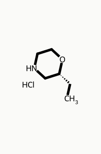 CC[C@@H]1CNCCO1.Cl